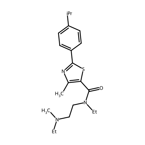 CCN(C)CCN(CC)C(=O)c1sc(-c2ccc(C(C)C)cc2)nc1C